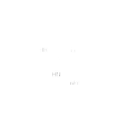 CBC(=O)NCCC